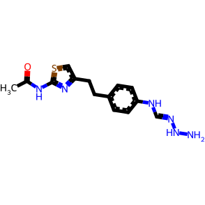 CC(=O)Nc1nc(CCc2ccc(NC=NNN)cc2)cs1